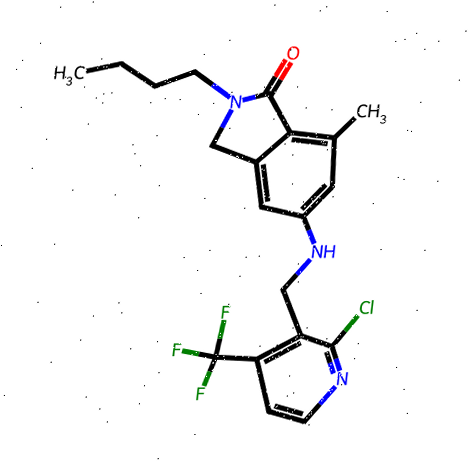 CCCCN1Cc2cc(NCc3c(C(F)(F)F)ccnc3Cl)cc(C)c2C1=O